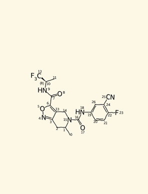 CC1Cc2noc(C(=O)N[C@H](C)C(F)(F)F)c2CN1C(=O)Nc1ccc(F)c(C#N)c1